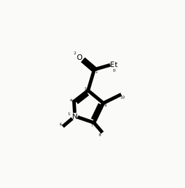 CCC(=O)c1cn(C)c(C)c1C